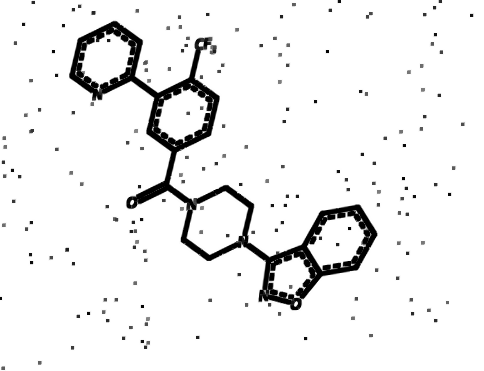 O=C(c1ccc(C(F)(F)F)c(-c2ccccn2)c1)N1CCN(c2noc3ccccc23)CC1